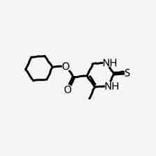 CC1=C(C(=O)OC2CCCCC2)CNC(=S)N1